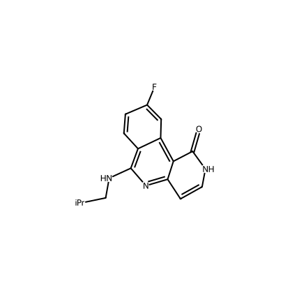 CC(C)CNc1nc2cc[nH]c(=O)c2c2cc(F)ccc12